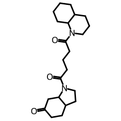 O=C1CCC2CCN(C(=O)CCCC(=O)N3CCCC4CCCCC43)C2C1